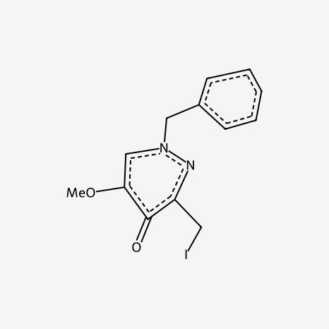 COc1cn(Cc2ccccc2)nc(CI)c1=O